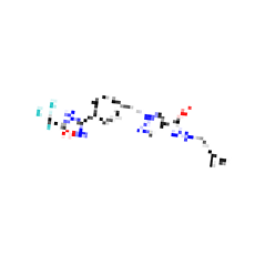 O=C(NCC1CC1)c1cnn(Cc2ccc(-c3noc(C(F)(F)F)n3)cc2)c1